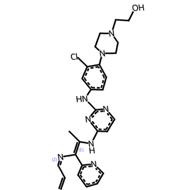 C=C/C=N\C(=C(/C)Nc1ccnc(Nc2ccc(N3CCN(CCO)CC3)c(Cl)c2)n1)c1ccccn1